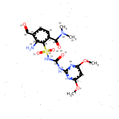 COc1cc(OC)nc(NC(=O)NS(=O)(=O)c2c(C(=O)N(C)C)ccc(C=O)c2N)n1